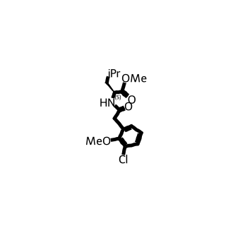 COC(=O)[C@H](CC(C)C)NC(=O)Cc1cccc(Cl)c1OC